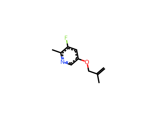 C=C(C)COc1cnc(C)c(F)c1